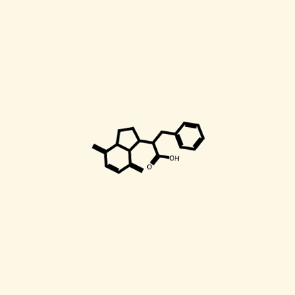 C=C1C=CC(=C)C2C1CCC2C(Cc1ccccc1)C(=O)O